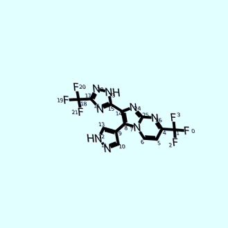 FC(F)(F)c1ccn2c(-c3cn[nH]c3)c(-c3nc(C(F)(F)F)n[nH]3)nc2n1